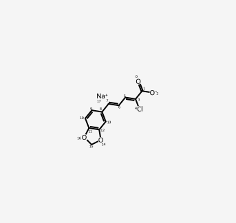 O=C([O-])C(Cl)=CC=Cc1ccc2c(c1)OCO2.[Na+]